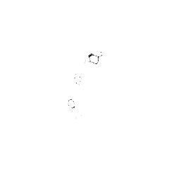 Fc1ccc(OCCN2CCN(CCc3ccc4c(c3)OCO4)CC2)cc1